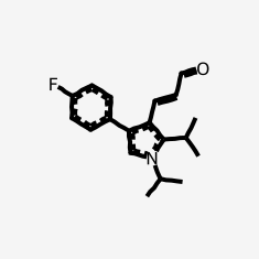 CC(C)c1c(/C=C/C=O)c(-c2ccc(F)cc2)cn1C(C)C